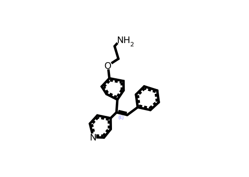 NCCOc1ccc(/C(=C\c2ccccc2)c2ccncc2)cc1